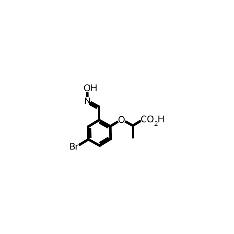 CC(Oc1ccc(Br)cc1C=NO)C(=O)O